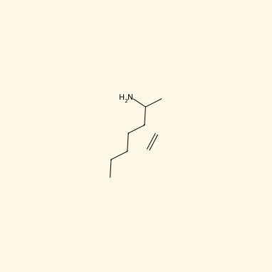 C=C.CCCCCC(C)N